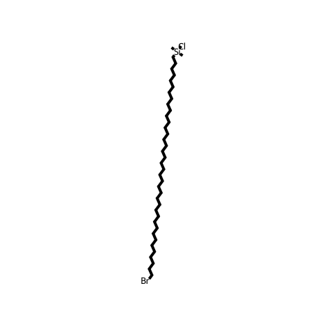 C[Si](C)(Cl)CCCCCCCCCCCCCCCCCCCCCCCCCCCCCCCCCCCCCCBr